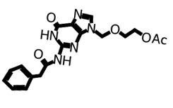 CC(=O)OCCOCn1cnc2c(=O)[nH]c(NC(=O)Cc3ccccc3)nc21